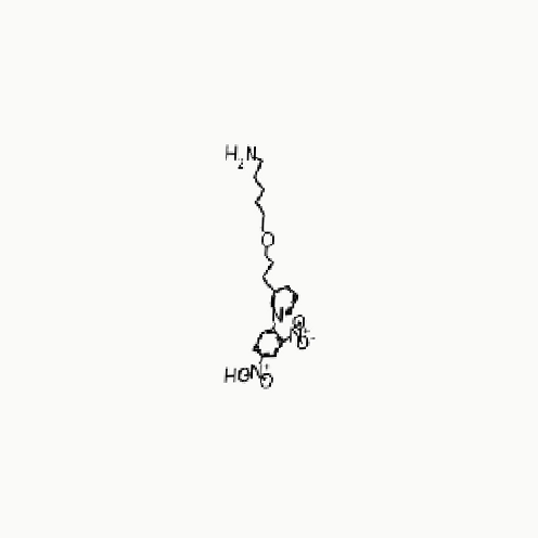 NCCCCCCOCCCc1ccc[n+](-c2ccc([N+](=O)O)cc2[N+](=O)[O-])c1